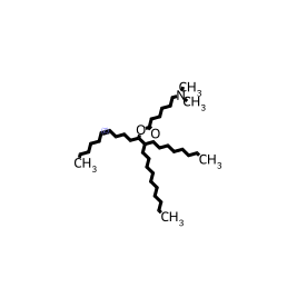 CCCCC/C=C\CCCC(OC(=O)CCCCCN(C)C)C(CCCCCCCC)CCCCCCCCCC